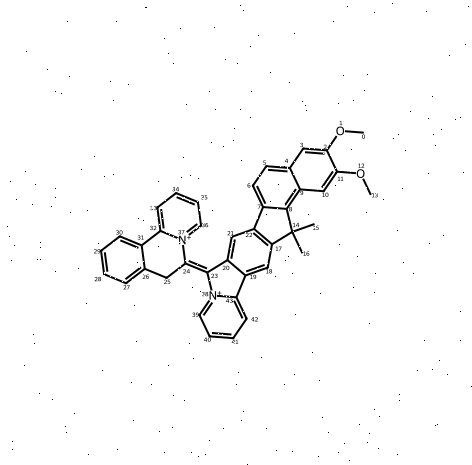 COc1cc2ccc3c(c2cc1OC)C(C)(C)c1cc2c(cc1-3)/C(=C1/Cc3ccccc3-c3cccc[n+]31)[n+]1ccccc1-2